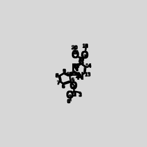 COC(C)Oc1ccccc1-c1nccc(C(OC)OC)n1